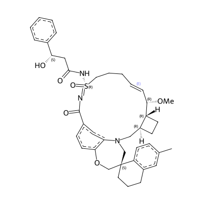 CO[C@H]1/C=C/CCC[S@@](=O)(NC(=O)C[C@H](O)c2ccccc2)=NC(=O)c2ccc3c(c2)N(C[C@@H]2CC[C@H]21)C[C@@]1(CCCc2cc(C)ccc21)CO3